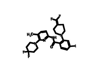 Cc1ccc(NC(=O)c2ccc(I)cc2N2CCC(=C(F)F)CC2)nc1N1CCC(F)(F)CC1